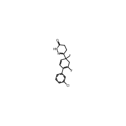 O=C1CCC(C2(F)C=CC(c3cccc(Cl)c3)=C(F)C2)=NN1